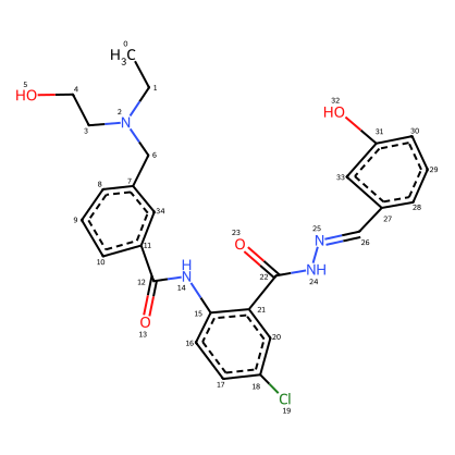 CCN(CCO)Cc1cccc(C(=O)Nc2ccc(Cl)cc2C(=O)NN=Cc2cccc(O)c2)c1